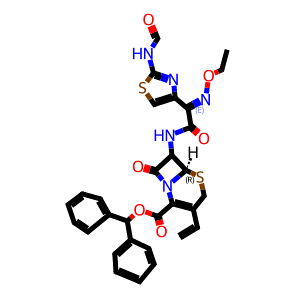 C=CC1=C(C(=O)OC(c2ccccc2)c2ccccc2)N2C(=O)C(NC(=O)/C(=N/OCC)c3csc(NC=O)n3)[C@H]2SC1